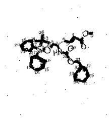 COC(=O)C=CC[C@@H](CO[Si](c1ccccc1)(c1ccccc1)C(C)(C)C)NC(=O)OCc1ccccc1